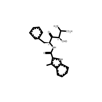 Cc1c(C(=O)N[C@@H](Cc2ccccc2)C(=O)[C@H](C=O)C(N)C(=O)O)[nH]c2ccccc12